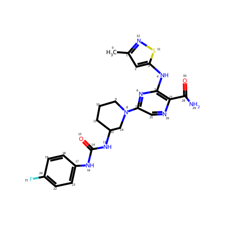 Cc1cc(Nc2nc(N3CCCC(NC(=O)Nc4ccc(F)cc4)C3)cnc2C(N)=O)sn1